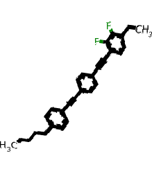 CCCCCc1ccc(C#Cc2ccc(C#Cc3ccc(CC)c(F)c3F)cc2)cc1